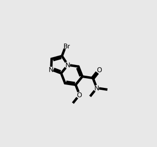 COc1cc2ncc(Br)n2cc1C(=O)N(C)C